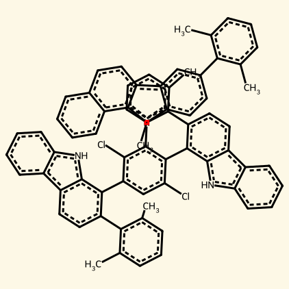 Cc1cccc(C)c1-c1ccc2c(c1)c1ccc3ccccc3c1n2-c1c(Cl)c(-c2c(-c3c(C)cccc3C)ccc3c2[nH]c2ccccc23)cc(Cl)c1-c1c(-c2c(C)cccc2C)ccc2c1[nH]c1ccccc12